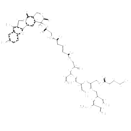 CCc1c2c(nc3ccc(O)cc13)-c1cc3c(c(=O)n1C2)COC(=O)[C@@]3(CC)OC(=O)CNC(=O)CCCC(=O)OCC(CC)OC(CO)OCC(CO)OC(COC(=O)CCCC(=O)O)OCC(CO)OC(CO)OC